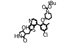 Cc1cc(Cl)cc(-c2ccnc3cc(CC4C(=O)NCC4O)sc23)c1O[C@H]1CCCN(C(=O)OC(C)(C)C)C1